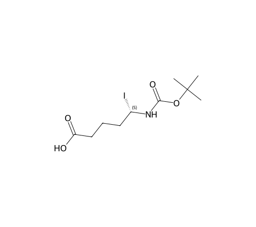 CC(C)(C)OC(=O)N[C@@H](I)CCCC(=O)O